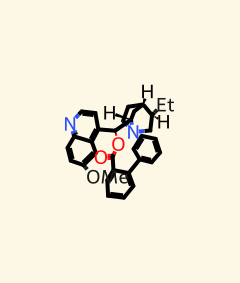 CC[C@H]1CN2CC[C@H]1C[C@H]2[C@H](OC(=O)c1ccccc1-c1ccccc1)c1ccnc2ccc(OC)cc12